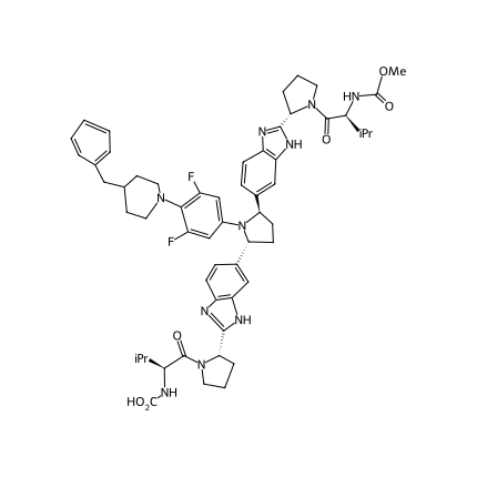 COC(=O)N[C@H](C(=O)N1CCC[C@H]1c1nc2ccc([C@H]3CC[C@H](c4ccc5nc([C@@H]6CCCN6C(=O)[C@@H](NC(=O)O)C(C)C)[nH]c5c4)N3c3cc(F)c(N4CCC(Cc5ccccc5)CC4)c(F)c3)cc2[nH]1)C(C)C